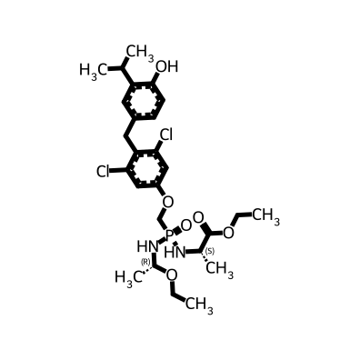 CCOC(=O)[C@H](C)NP(=O)(COc1cc(Cl)c(Cc2ccc(O)c(C(C)C)c2)c(Cl)c1)N[C@@H](C)OCC